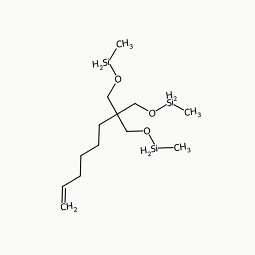 C=CCCCCC(CO[SiH2]C)(CO[SiH2]C)CO[SiH2]C